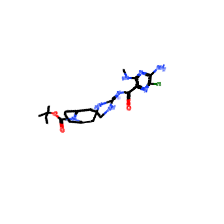 CNc1nc(N)c(Cl)nc1C(=O)/N=C1\NCC2(CC3CCC(C2)N3C(=O)OC(C)(C)C)N1